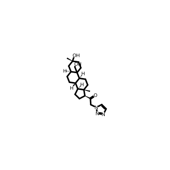 C[C@@]1(O)CCC2(CO)[C@@H](CC[C@@H]3[C@@H]2CC[C@]2(C)[C@@H](C(=O)Cn4ccnn4)CC[C@@H]32)C1